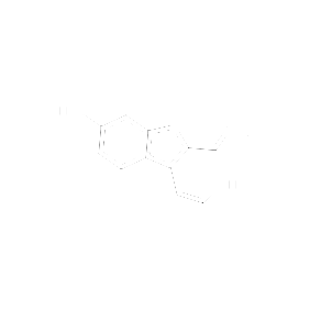 C=Cc1sc2cc(C)ccc2c1/C=C\C